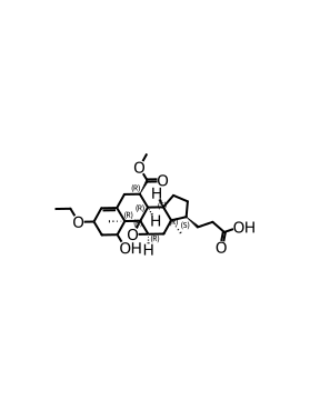 CCOC1C=C2C[C@@H](C(=O)OC)[C@H]3[C@@H]4CC[C@@H](CCC(=O)O)[C@@]4(C)C[C@H]4O[C@@]34[C@@]2(C)C(O)C1